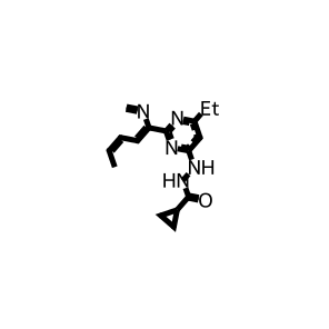 C=N/C(=C\C=C/C)c1nc(CC)cc(NNC(=O)C2CC2)n1